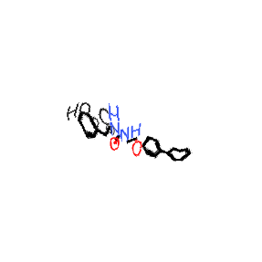 O=C(NCCOc1ccc(-c2ccccc2)cc1)N[C@@H](Cc1ccccc1)C(=O)O